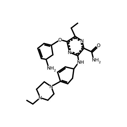 CCc1nc(C(N)=O)c(NC2C=CC(N3CCN(CC)CC3)=CC2)nc1OC1=CC=CC(N)C1